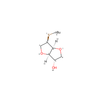 CCCCS[C@@H]1CO[C@H]2[C@@H]1OC[C@@H]2O